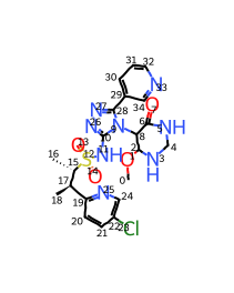 COC1NCNC(=O)C1n1c(NS(=O)(=O)[C@@H](C)[C@H](C)c2ccc(Cl)cn2)nnc1-c1cccnc1